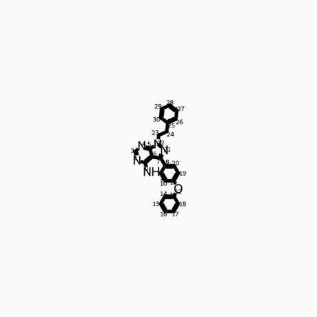 Nc1ncnc2c1c(-c1ccc(Oc3ccccc3)cc1)nn2CCc1c[c]ccc1